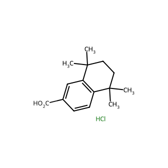 CC1(C)CCC(C)(C)c2cc(C(=O)O)ccc21.Cl